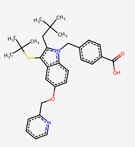 CC(C)(C)Cc1c(SC(C)(C)C)c2cc(OCc3ccccn3)ccc2n1Cc1ccc(C(=O)O)cc1